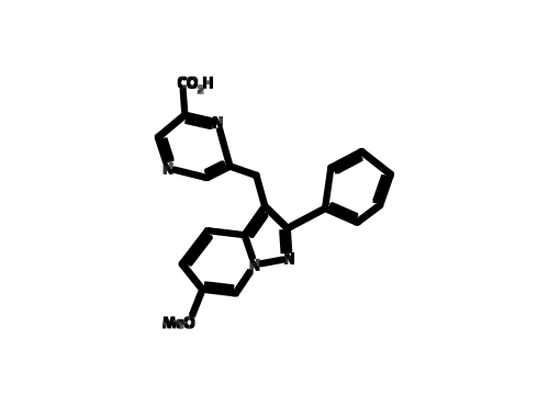 COc1ccc2c(Cc3cncc(C(=O)O)n3)c(-c3ccccc3)nn2c1